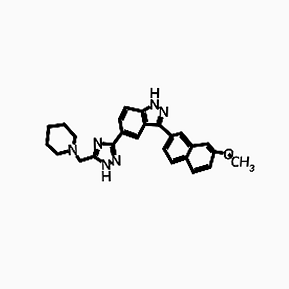 COc1ccc2ccc(-c3n[nH]c4ccc(-c5n[nH]c(CN6CCCCC6)n5)cc34)cc2c1